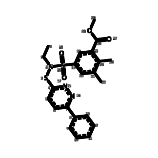 CCN(Sc1ccc(-c2ccccc2)nn1)S(=O)(=O)c1cc(C)c(C)c(C(=O)OC)c1